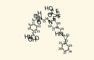 O=C(NO)c1ccc(CS(=O)(=O)NCCN2CCC(CNC3CC3c3ccccc3)CC2)cc1.O=C(O)C(F)(F)F